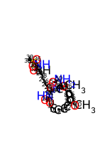 COc1cc2ccc3cc2cc1CCCCCCOC(=O)N[C@@H](CCCCCCCBC(=O)NS(=O)(=O)C1CC1)C(=O)N1C[C@@]3(OC)C[C@H]1C(N)=O